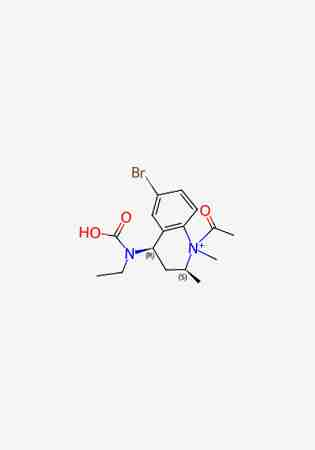 CCN(C(=O)O)[C@@H]1C[C@H](C)[N+](C)(C(C)=O)c2ccc(Br)cc21